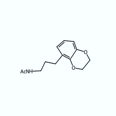 CC(=O)NCCCc1cccc2c1OCCO2